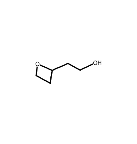 OCC[C]1CCO1